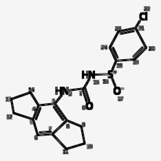 O=C(Nc1c2c(cc3c1CCC3)CCC2)N[S+]([O-])c1ccc(Cl)cc1